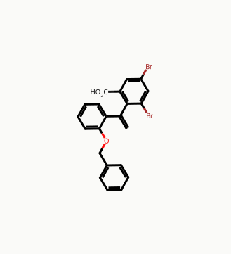 C=C(c1ccccc1OCc1ccccc1)c1c(Br)cc(Br)cc1C(=O)O